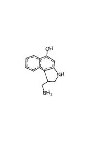 BCC1CNc2cc(O)c3ccccc3c21